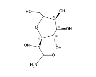 NC(=O)N(N=O)[C@H]1OC(CO)[C@@H](O)[C@@H](O)[C@@H]1O